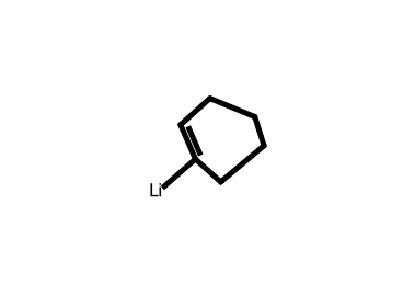 [Li][C]1=CCCCC1